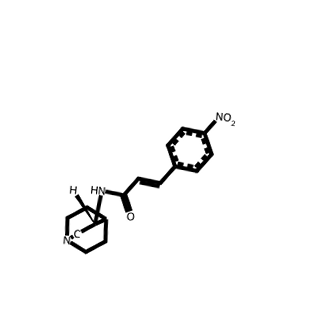 O=C(/C=C/c1ccc([N+](=O)[O-])cc1)N[C@H]1CN2CCC1CC2